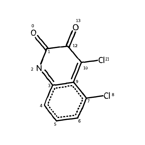 O=C1N=c2cccc(Cl)c2=C(Cl)C1=O